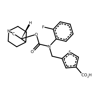 O=C(O)c1csc(CN(C(=O)O[C@H]2CN3CCC2CC3)c2ccccc2F)c1